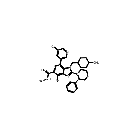 CC1CCC(Cn2c(N3CCOC[C@H]3c3ccccc3)nc3c(Br)c(C(=N)NO)nc(-c4cncc(Cl)c4)c32)CC1